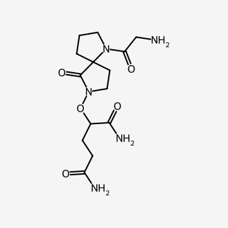 NCC(=O)N1CCCC12CCN(OC(CCC(N)=O)C(N)=O)C2=O